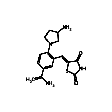 C=C(N)c1ccc(N2CCC(N)C2)c(/C=C2\SC(=O)NC2=O)c1